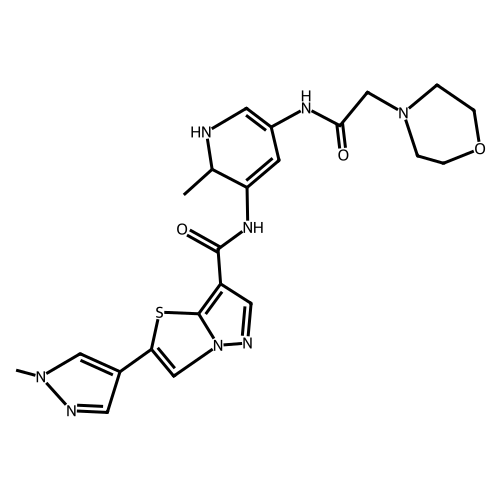 CC1NC=C(NC(=O)CN2CCOCC2)C=C1NC(=O)c1cnn2cc(-c3cnn(C)c3)sc12